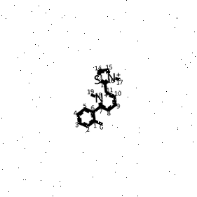 Cc1ccccc1-c1cccc(-c2scc[n+]2C)[n+]1C